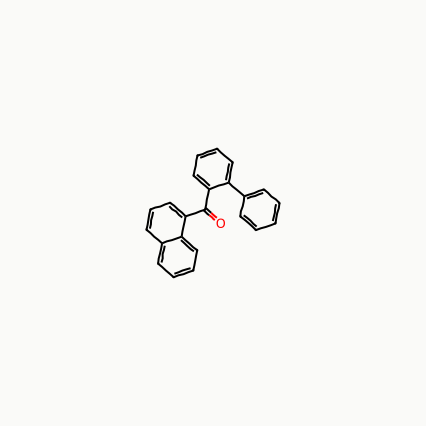 O=C(c1ccccc1-c1ccccc1)c1cccc2ccccc12